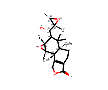 CO[C@]12CCC3=C(COC3=O)[C@@H]1[C@@H]1O[C@@H]1C([C@H](O)[C@@]1(C(C)C)O[C@H]1C)C2(C)C